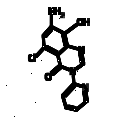 Nc1cc(Cl)c2c(=O)n(-c3ccccn3)cnc2c1O